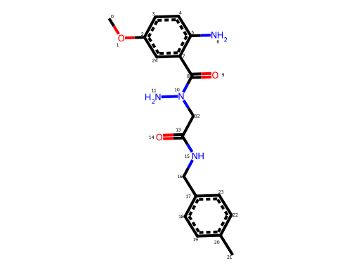 COc1ccc(N)c(C(=O)N(N)CC(=O)NCc2ccc(C)cc2)c1